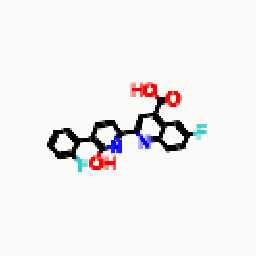 O=C(O)c1cc(-c2ccc(-c3ccccc3F)c(O)n2)nc2ccc(F)cc12